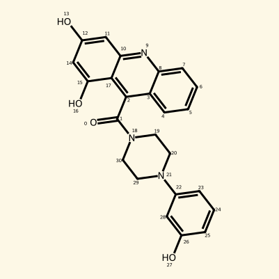 O=C(c1c2ccccc2nc2cc(O)cc(O)c12)N1CCN(c2cccc(O)c2)CC1